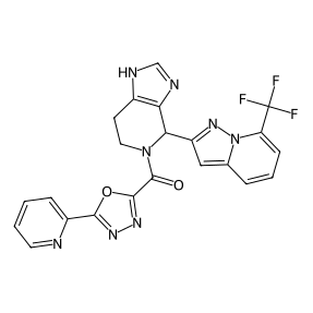 O=C(c1nnc(-c2ccccn2)o1)N1CCc2[nH]cnc2C1c1cc2cccc(C(F)(F)F)n2n1